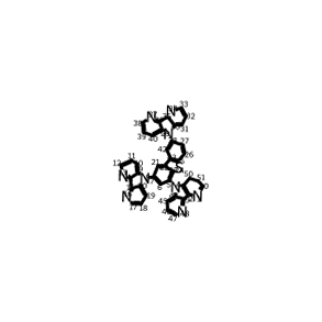 C1=Nc2c(n(-c3cc(-n4c5cccnc5c5ncccc54)cc4c3sc3ccc(-n5c6cccnc6c6ncccc65)cc34)c3cccnc23)CC1